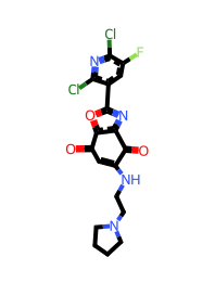 O=C1C(NCCN2CCCC2)=CC(=O)c2oc(-c3cc(F)c(Cl)nc3Cl)nc21